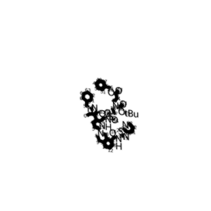 Cc1c(-c2ccc(N3CCc4cccc(C(=O)Nc5nc6cccnc6s5)c4C3)nc2C(=O)NS(=O)(=O)CCN(CCC(=O)OCc2ccccc2)C(=O)OC(C)(C)C)cnn1CC1CCCCC1